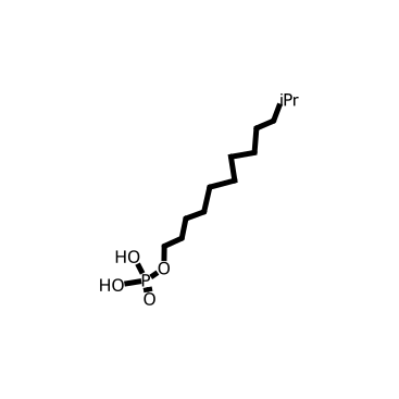 CC(C)CCCCCCCCCCOP(=O)(O)O